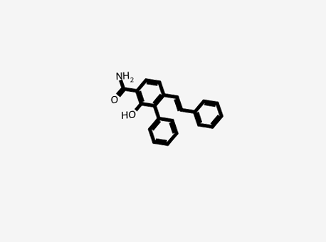 NC(=O)c1ccc(C=Cc2ccccc2)c(-c2ccccc2)c1O